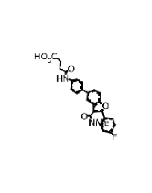 CNC(=O)c1c(-c2ccc(F)cc2)oc2ccc(-c3ccc(NC(=O)CCC(=O)O)cc3)cc12